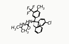 Cc1ccc([C@](Cc2ccccc2)(NC(=O)NC(C)C)c2ccc(Cl)cn2)cc1C(F)(F)F